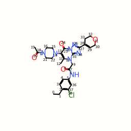 CCc1ccc(NC(=O)Cn2c(C)c(N3CCN(C(C)=O)CC3)c(=O)n3nc(C4=CCOCC4)nc23)cc1Cl